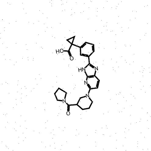 O=C(C1CCCN(c2ccc3nc(-c4cccc(C5(C(=O)O)CC5)c4)[nH]c3n2)C1)N1CCCC1